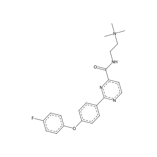 C[N+](C)(C)CCNC(=O)c1ccnc(-c2ccc(Oc3ccc(F)cc3)cc2)n1